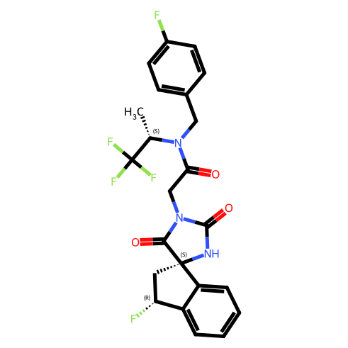 C[C@H](N(Cc1ccc(F)cc1)C(=O)CN1C(=O)N[C@]2(C[C@@H](F)c3ccccc32)C1=O)C(F)(F)F